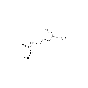 CCOC(=O)C(CCCNC(=O)OC(C)(C)C)C(=O)OCC